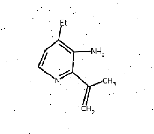 C=C(C)c1nccc(CC)c1N